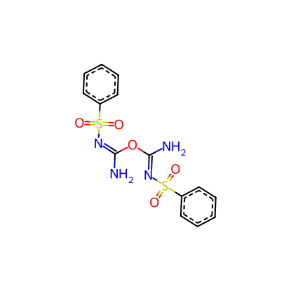 NC(=NS(=O)(=O)c1ccccc1)OC(N)=NS(=O)(=O)c1ccccc1